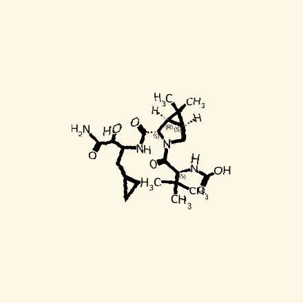 CC(C)(C)[C@H](NC(=O)O)C(=O)N1C[C@H]2[C@@H]([C@H]1C(=O)NC(CC1CC1)C(O)C(N)=O)C2(C)C